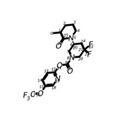 CC1CCCN([C@H]2CN(C(=O)Oc3ccc(OC(F)(F)F)cn3)CC(F)(F)C2)C1=O